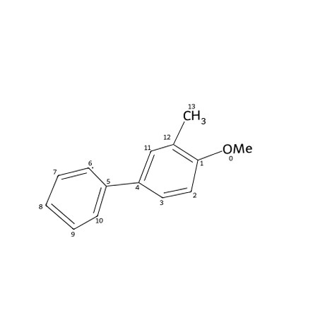 COc1ccc(-c2[c]cccc2)cc1C